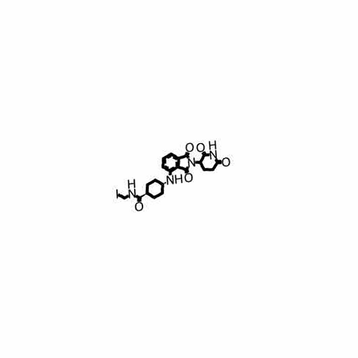 O=C1CCC(N2C(=O)c3cccc(N[C@H]4CC[C@H](C(=O)NCI)CC4)c3C2=O)C(=O)N1